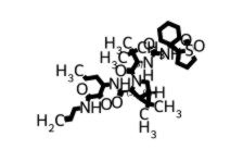 C=CCNC(=O)C(=O)C(CCC)NC(=O)[C@@H]1C2[C@H](CN1C(=O)[C@@H](NC(=O)NC1(C3CCCS3(=O)=O)CCCCC1)C(C)(C)C)C2(C)C